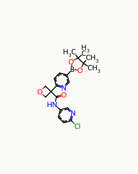 CC1(C)OB(c2ccc(C3(C(=O)Nc4ccc(Cl)nc4)COC3)nc2)OC1(C)C